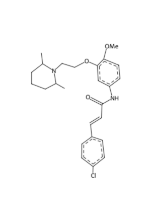 COc1ccc(NC(=O)C=Cc2ccc(Cl)cc2)cc1OCCN1C(C)CCCC1C